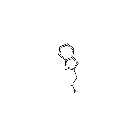 [CH2]COCc1cc2ccccc2o1